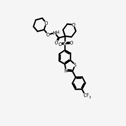 O=C(NOC1CCCCO1)C1(S(=O)(=O)c2ccc3nc(-c4ccc(C(F)(F)F)cc4)sc3c2)CCOCC1